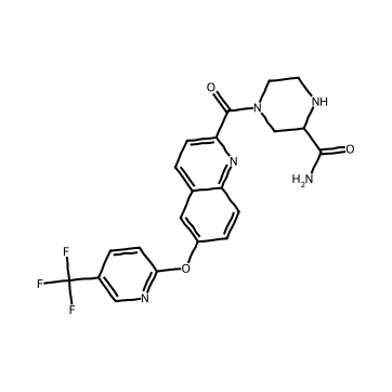 NC(=O)C1CN(C(=O)c2ccc3cc(Oc4ccc(C(F)(F)F)cn4)ccc3n2)CCN1